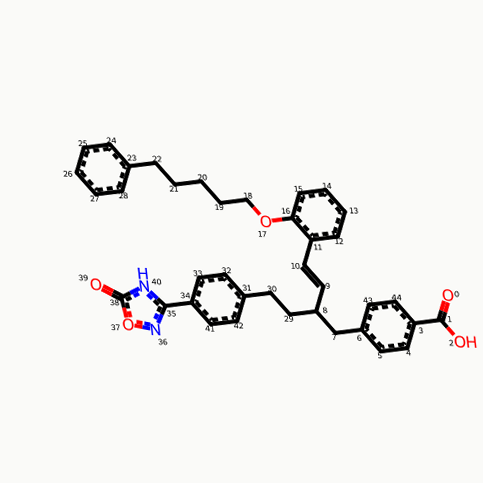 O=C(O)c1ccc(CC(/C=C/c2ccccc2OCCCCCc2ccccc2)CCc2ccc(-c3noc(=O)[nH]3)cc2)cc1